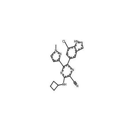 Cn1ccc(-c2nc(NC3CCC3)c(C#N)nc2-c2cc(Cl)c3[nH]ncc3c2)n1